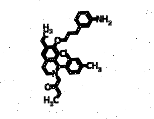 CCC(=O)CN1CCc2cc(CC)c(OCCCC3=CC(N)=CCC3)cc2C1c1ccc(C)cc1Cl